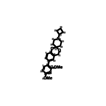 COc1ncc(-c2ccc3c(c2)COC2(CCN(C4CCC4)CC2)O3)c(OC)n1